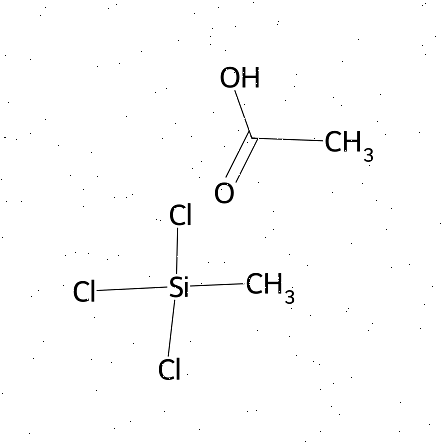 CC(=O)O.C[Si](Cl)(Cl)Cl